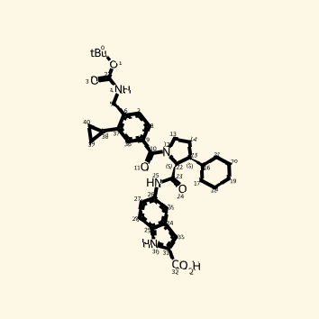 CC(C)(C)OC(=O)NCc1ccc(C(=O)N2CC[C@@H](C3CCCCC3)[C@H]2C(=O)Nc2ccc3[nH]c(C(=O)O)cc3c2)cc1C1CC1